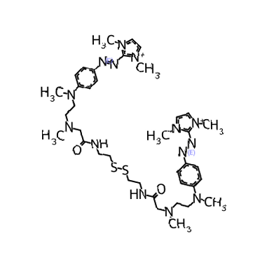 CN(CCN(C)c1ccc(/N=N/c2n(C)cc[n+]2C)cc1)CC(=O)NCCSSCCNC(=O)CN(C)CCN(C)c1ccc(/N=N/c2n(C)cc[n+]2C)cc1